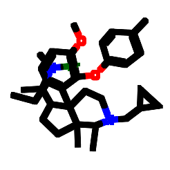 CCc1ccc(OC)c(Oc2ccc(C)cc2)c1C12CCN(CC3CC3)C(C)C1(C)CCC2C(C)N(C)Br